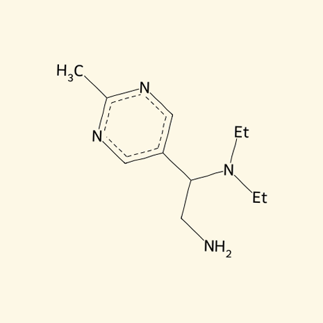 CCN(CC)C(CN)c1cnc(C)nc1